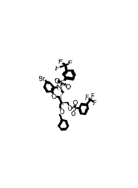 O=S(=O)(OC[C@@H](COCc1ccccc1)[C@H]1CN(S(=O)(=O)c2cccc(C(F)(F)F)c2)c2cc(Br)ccc2O1)c1cccc(C(F)(F)F)c1